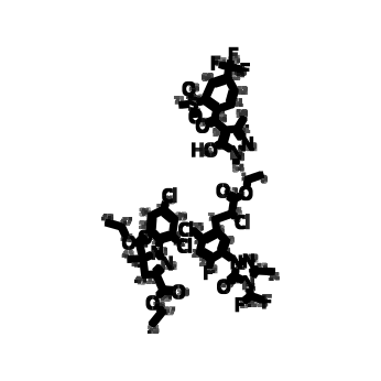 CCOC(=O)C(Cl)Cc1cc(-n2nc(C)n(C(F)F)c2=O)c(F)cc1Cl.CCOC(=O)C1=NN(c2ccc(Cl)cc2Cl)C(C)(C(=O)OCC)C1.Cc1nn(C)c(O)c1C(=O)c1ccc(C(F)(F)F)cc1S(C)(=O)=O